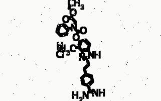 CCOC(=O)CN(C(=O)Oc1ccc2[nH]c(CCc3ccc(C(=N)N)cc3)nc2c1C)c1ccccc1.Cl